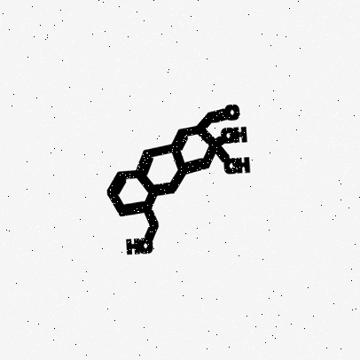 O=CC1C=c2cc3cccc(CO)c3cc2=CC1(O)O